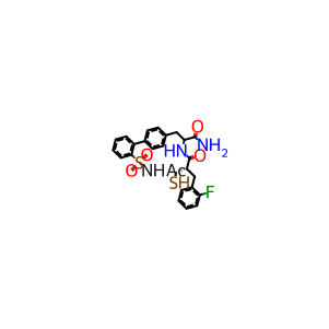 CC(=O)NS(=O)(=O)c1ccccc1-c1ccc(CC(NC(=O)[C@@H](CS)Cc2ccccc2F)C(N)=O)cc1